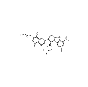 CNc1cc(F)cc2c1[nH]c1ncc(-c3cnc4c(c3)c(=O)c(COCO)cn4C)c(N3CCC(F)(F)C3)c12